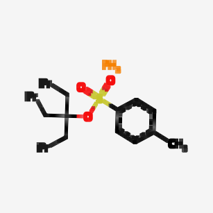 Cc1ccc(S(=O)(=O)OC(CC(C)C)(CC(C)C)CC(C)C)cc1.P